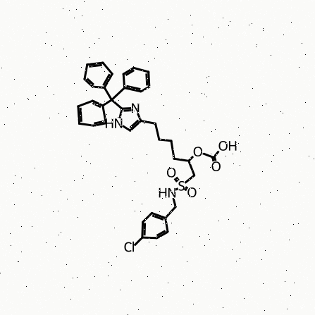 O=C(O)OC(CCCCc1c[nH]c(C(c2ccccc2)(c2ccccc2)c2ccccc2)n1)CS(=O)(=O)NCc1ccc(Cl)cc1